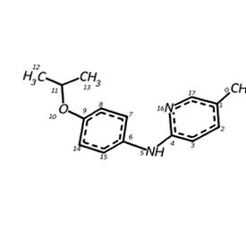 Cc1ccc(Nc2ccc(OC(C)C)cc2)nc1